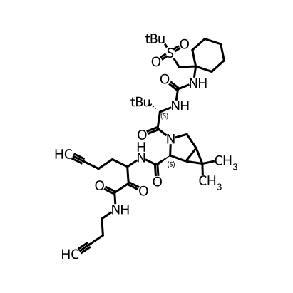 C#CCCNC(=O)C(=O)C(CCC#C)NC(=O)[C@@H]1C2C(CN1C(=O)[C@@H](NC(=O)NC1(CS(=O)(=O)C(C)(C)C)CCCCC1)C(C)(C)C)C2(C)C